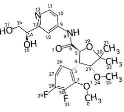 COc1c([C@@H]2[C@@H](C(=O)Nc3ccnc([C@@H](O)CO)c3)OC(C)(C)[C@@H]2OC)ccc(F)c1F